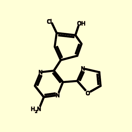 Nc1cnc(-c2ccc(O)c(Cl)c2)c(-c2ncco2)n1